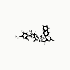 CC(C)OC(=O)[C@H](C)NP(=O)(OC[C@@]1(C(F)F)O[C@@H](n2cc(F)c(N)nc2=O)[C@H](O)C1(F)F)Oc1ccc2ccccc2c1